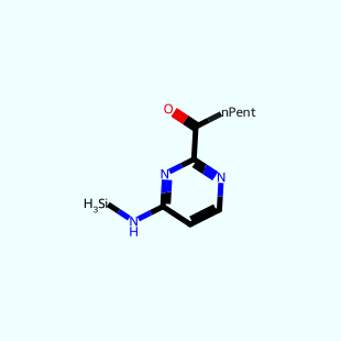 CCCCCC(=O)c1nccc(N[SiH3])n1